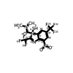 CN(C)C(=O)[N+]1(S)C(C(F)(F)F)=Nc2c([N+](=O)[O-])cc(C(F)(F)F)cc21